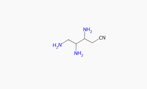 N#CCC(N)C(N)CN